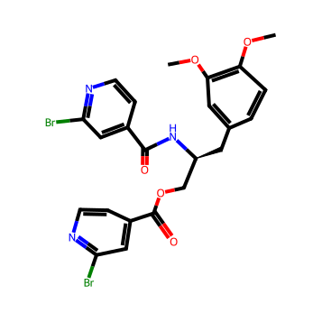 COc1ccc(C[C@@H](COC(=O)c2ccnc(Br)c2)NC(=O)c2ccnc(Br)c2)cc1OC